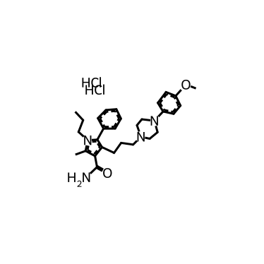 CCCn1c(C)c(C(N)=O)c(CCCN2CCN(c3ccc(OC)cc3)CC2)c1-c1ccccc1.Cl.Cl